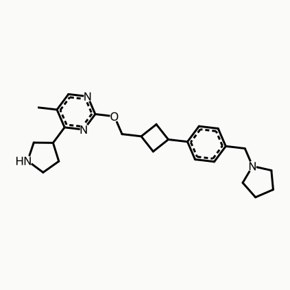 Cc1cnc(OCC2CC(c3ccc(CN4CCCC4)cc3)C2)nc1C1CCNC1